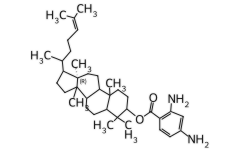 CC(C)=CCCC(C)C1CCC2(C)C3CCC4C(C)(C)C(OC(=O)c5ccc(N)cc5N)CCC4(C)C3CC[C@]12C